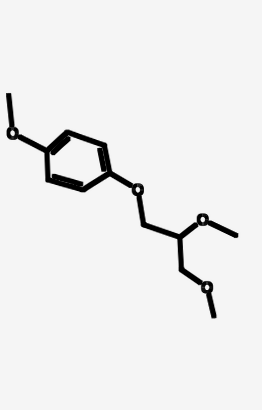 COCC(COc1ccc(OC)cc1)OC